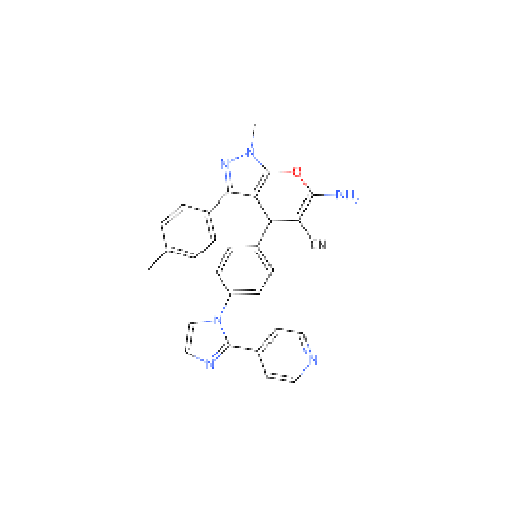 Cc1ccc(-c2nn(C)c3c2C(c2ccc(-n4ccnc4-c4ccncc4)cc2)C(C#N)=C(N)O3)cc1